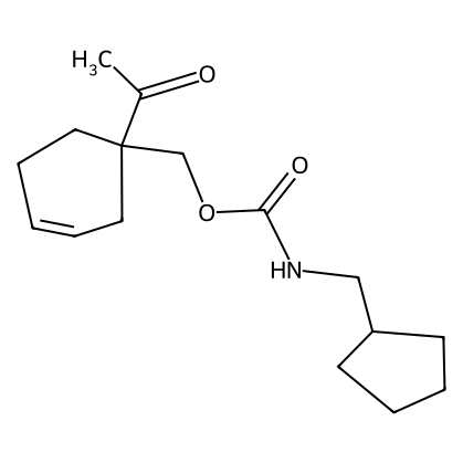 CC(=O)C1(COC(=O)NCC2CCCC2)CC=CCC1